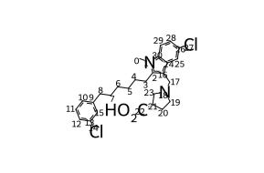 Cn1c(CCCCCCc2cccc(Cl)c2)c(CN2CC[C@H](C(=O)O)C2)c2cc(Cl)ccc21